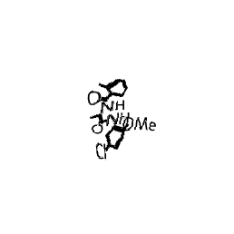 COc1ccc(Cl)cc1NC(=O)C(C)NC(=O)c1ccccc1C